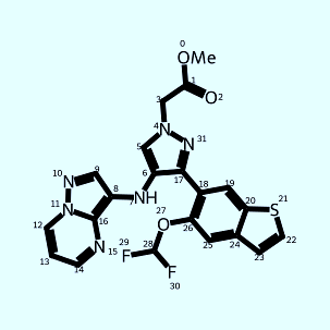 COC(=O)Cn1cc(Nc2cnn3cccnc23)c(-c2cc3sccc3cc2OC(F)F)n1